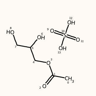 CC(=O)OCC(O)CO.O=S(=O)(O)O